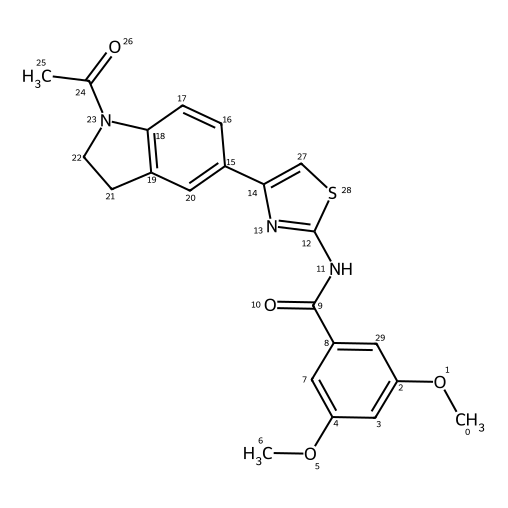 COc1cc(OC)cc(C(=O)Nc2nc(-c3ccc4c(c3)CCN4C(C)=O)cs2)c1